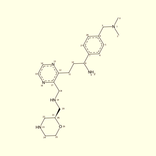 CN(C)Cc1ccc(C(N)CCc2nccnc2CNC[C@@H]2CNCCO2)cc1